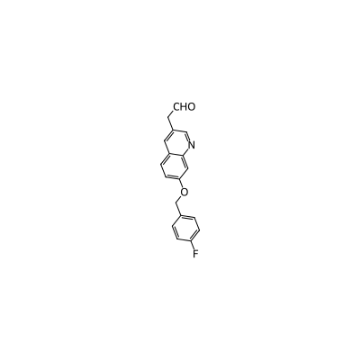 O=CCc1cnc2cc(OCc3ccc(F)cc3)ccc2c1